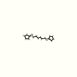 C(CCCOC1CCCC1)CCOC1CCCC1